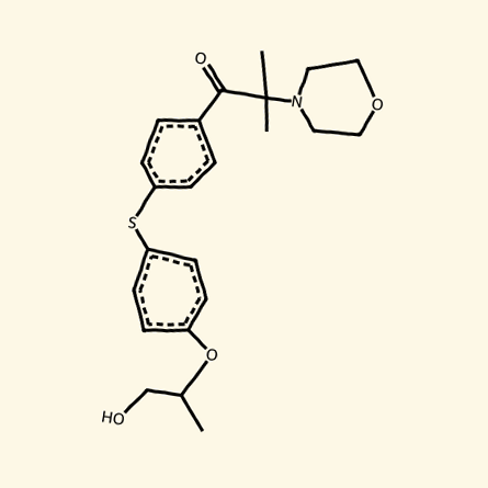 CC(CO)Oc1ccc(Sc2ccc(C(=O)C(C)(C)N3CCOCC3)cc2)cc1